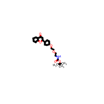 CC(C)(C)OC(=O)NCCOCCOc1ccc(-c2cc(=O)c3ccccc3o2)cc1